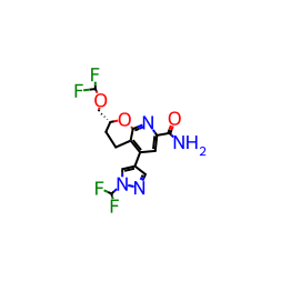 NC(=O)c1cc(-c2cnn(C(F)F)c2)c2c(n1)O[C@@H](COC(F)F)CC2